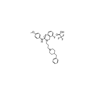 COc1ccc(NC(=O)N(CCCN2CCC(Cc3ccccc3)CC2)Cc2c(F)cccc2F)cc1.O=C(O)C(F)(F)F